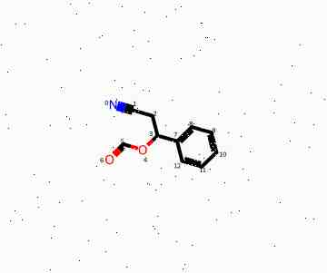 N#CCC(OC=O)c1ccccc1